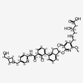 COc1nc(O[C@H]2CCc3c(-c4cccc(C(=O)Nc5ccc(CN6CC(CO)C6)cn5)c4Cl)cccc32)c(Cl)cc1CNC[C@@H](O)CC(=O)O